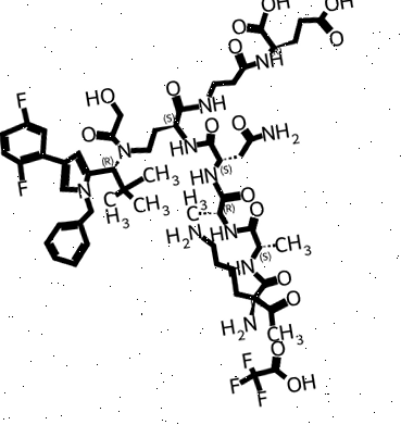 CC(=O)[C@](N)(CCCCN)C(=O)N[C@@H](C)C(=O)N[C@H](C)C(=O)N[C@@H](CC(N)=O)C(=O)N[C@@H](CCN(C(=O)CO)[C@@H](c1cc(-c2cc(F)ccc2F)cn1Cc1ccccc1)C(C)(C)C)C(=O)NCCC(=O)N[C@H](CCC(=O)O)C(=O)O.O=C(O)C(F)(F)F